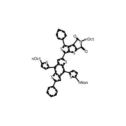 CCCCCCCCCc1ccc(-c2c3cc(-c4ccccc4)sc3c(-c3ccc(CCCCCCCC)s3)c3cc(-c4sc(-c5ccccc5)c5c6c(sc45)C(=O)N(CCCCCCCC)C6=O)sc23)s1